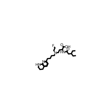 CCC(CC)CC(=O)NC(CCN(CCF)CCCCc1ccc2c(n1)NCCC2)C(=O)O